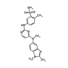 Cc1ccc(Nc2nccc(N(C)c3ccc4c(c3)nc(C)n4C)n2)cc1S(N)(=O)=O